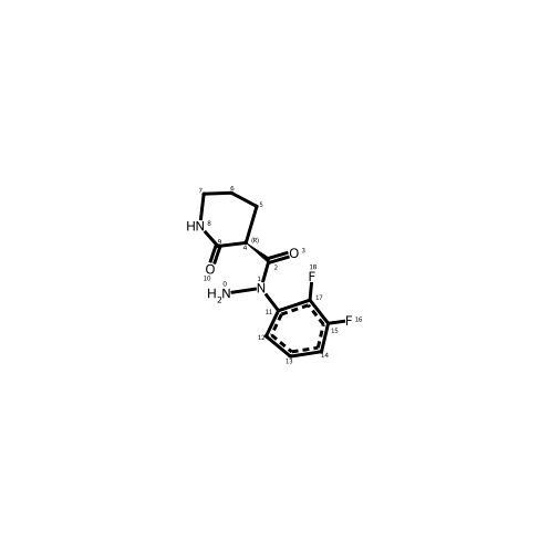 NN(C(=O)[C@@H]1CCCNC1=O)c1cccc(F)c1F